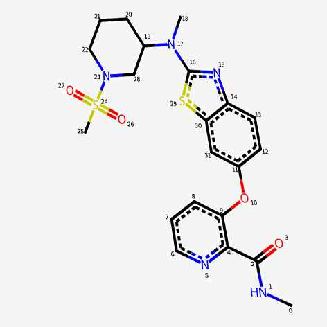 CNC(=O)c1ncccc1Oc1ccc2nc(N(C)C3CCCN(S(C)(=O)=O)C3)sc2c1